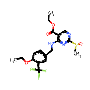 CCOC(=O)c1cnc([S+](C)[O-])nc1NCc1ccc(OCC)c(C(F)(F)F)c1